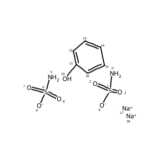 NS(=O)(=O)[O-].NS(=O)(=O)[O-].Oc1ccccc1.[Na+].[Na+]